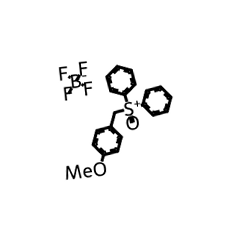 COc1ccc(C[S+](=O)(c2ccccc2)c2ccccc2)cc1.F[B-](F)(F)F